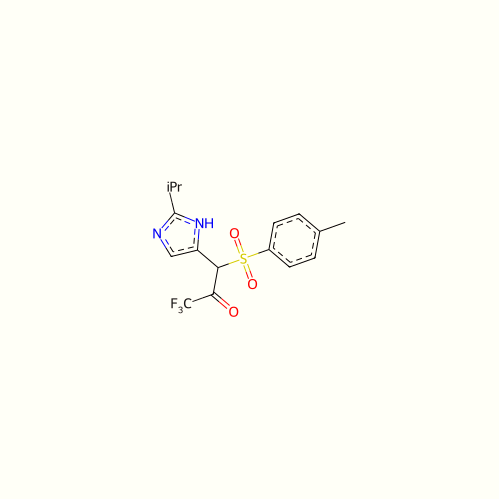 Cc1ccc(S(=O)(=O)C(C(=O)C(F)(F)F)c2cnc(C(C)C)[nH]2)cc1